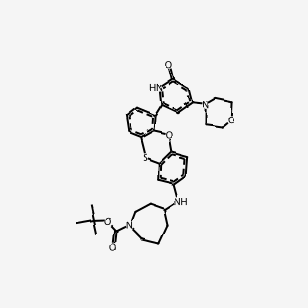 CC(C)(C)OC(=O)N1CCCC(Nc2ccc3c(c2)Sc2cccc(-c4cc(N5CCOCC5)cc(=O)[nH]4)c2O3)CC1